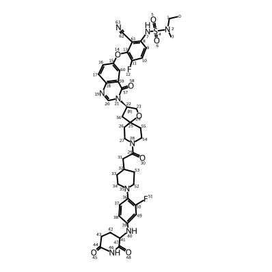 CCN(C)S(=O)(=O)Nc1ccc(F)c(Oc2ccc3ncn([C@H]4COC5(CCN(C(=O)CC6CCN(c7ccc(NC8CCC(=O)NC8=O)cc7F)CC6)CC5)C4)c(=O)c3c2)c1C#N